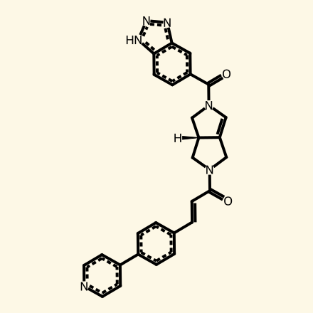 O=C(c1ccc2[nH]nnc2c1)N1C=C2CN(C(=O)C=Cc3ccc(-c4ccncc4)cc3)C[C@@H]2C1